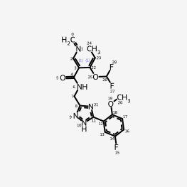 C=N/C=C(C(=O)NCc1n[nH]c(-c2cc(F)ccc2OC)n1)\C(=C/C)OC(F)F